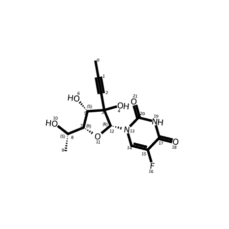 CC#CC1(O)[C@@H](O)[C@@H]([C@H](C)O)O[C@H]1n1cc(F)c(=O)[nH]c1=O